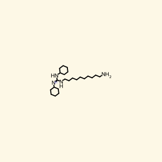 NCCCCCCCCCCN/C(=N\C1CCCCC1)NC1CCCCC1